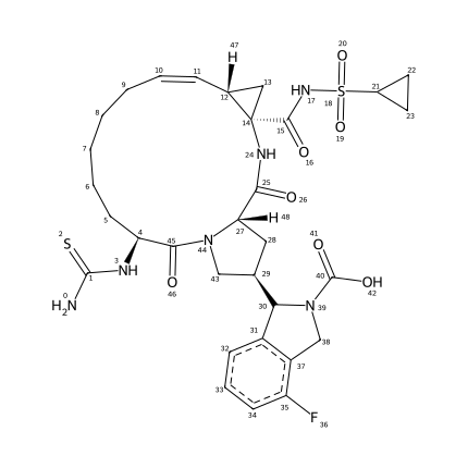 NC(=S)N[C@H]1CCCCCC=C[C@@H]2C[C@@]2(C(=O)NS(=O)(=O)C2CC2)NC(=O)[C@@H]2C[C@@H](C3c4cccc(F)c4CN3C(=O)O)CN2C1=O